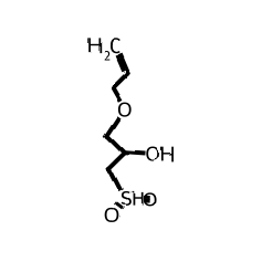 C=CCOCC(O)C[SH](=O)=O